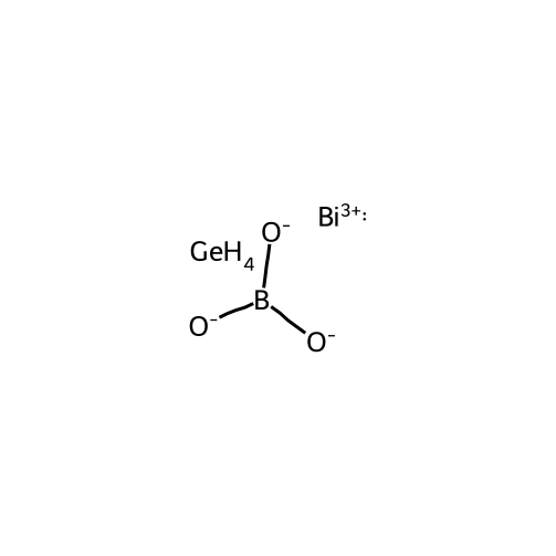 [Bi+3].[GeH4].[O-]B([O-])[O-]